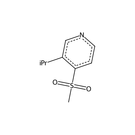 CC(C)c1cnccc1S(C)(=O)=O